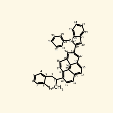 CC(Cc1ccccc1I)c1ccc2ccc3cc(-c4cc5ccccc5n4-c4ccccc4)cc4ccc1c2c34